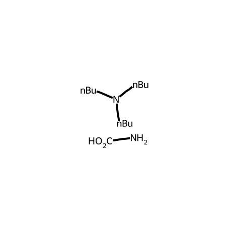 CCCCN(CCCC)CCCC.NC(=O)O